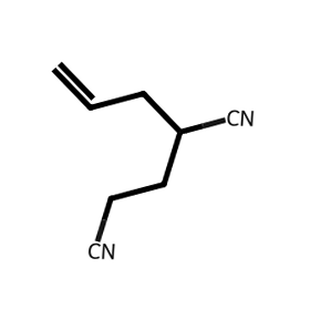 C=CC[C](C#N)CCC#N